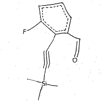 C[Si](C)(C)C#Cc1c(F)cccc1C=O